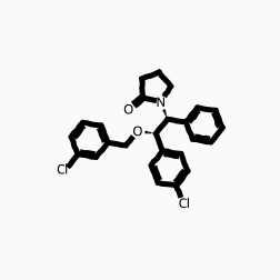 O=C1CCCN1[C@H](c1ccccc1)[C@@H](OCc1cccc(Cl)c1)c1ccc(Cl)cc1